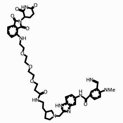 CNc1ccc(C(=O)Nc2ccc3[nH]c(CN4CCC(CCNC(=O)CCOCCOCCOCCNc5cccc6c5C(=O)N(C5CCC(=O)NC5=O)C6=O)C4)nc3c2)cc1C=N